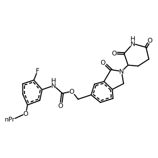 CCCOc1ccc(F)c(NC(=O)OCc2ccc3c(c2)C(=O)N(C2CCC(=O)NC2=O)C3)c1